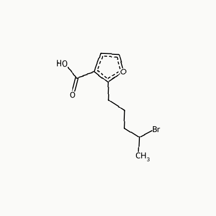 CC(Br)CCCc1occc1C(=O)O